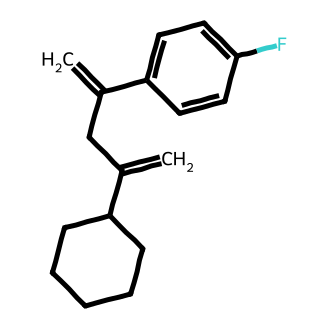 C=C(CC(=C)C1CCCCC1)c1ccc(F)cc1